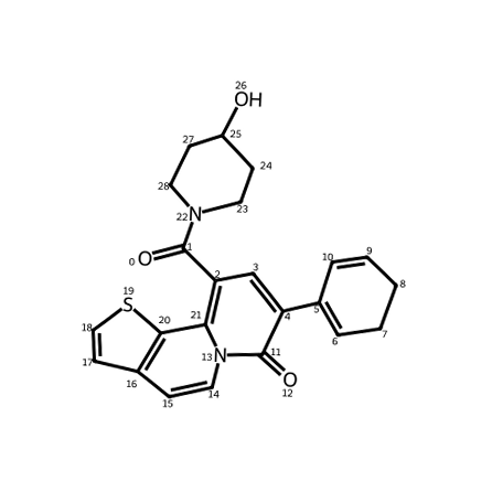 O=C(c1cc(C2=CCCC=C2)c(=O)n2ccc3ccsc3c12)N1CCC(O)CC1